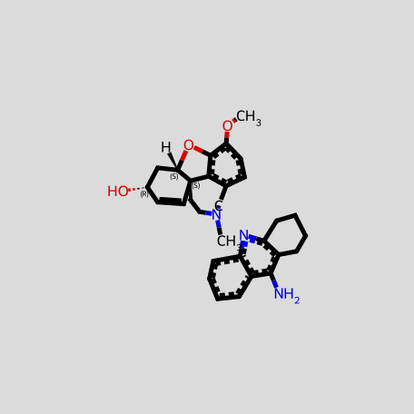 COc1ccc2c3c1O[C@H]1C[C@@H](O)C=C[C@@]31CCN(C)C2.Nc1c2c(nc3ccccc13)CCCC2